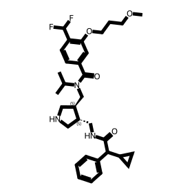 COCCCOc1cc(C(=O)N(C[C@@H]2CNC[C@H]2CNC(=O)C(c2ccccc2)C2CC2)C(C)C)ccc1C(F)F